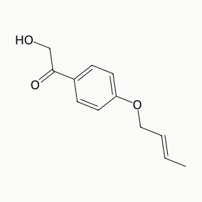 CC=CCOc1ccc(C(=O)CO)cc1